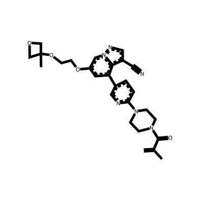 C=C(C)C(=O)N1CCN(c2ccc(-c3cc(OCCOC4(C)COC4)cn4ncc(C#N)c34)cn2)CC1